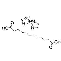 C1=NCCN1.C1=NCCN1.O=C(O)CCCCCCCCCCC(=O)O